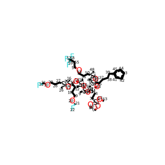 CO[Si](CC[Si](C)(O[SiH](C)O[Si](C)(C)O[Si](C)(CCCOCF)O[Si](C)(C)CCCOCF)O[Si](C)(CCCCc1ccccc1)O[Si](C)(C)CCCOCCC(F)(F)F)(OC)OC